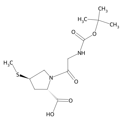 CS[C@@H]1C[C@@H](C(=O)O)N(C(=O)CNC(=O)OC(C)(C)C)C1